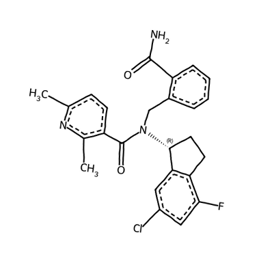 Cc1ccc(C(=O)N(Cc2ccccc2C(N)=O)[C@@H]2CCc3c(F)cc(Cl)cc32)c(C)n1